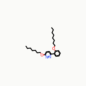 CCCCCCCCOc1ccccc1-c1ccc(OCCCCCCC)nn1